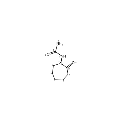 NC(=O)NN1CCCCCC1=O